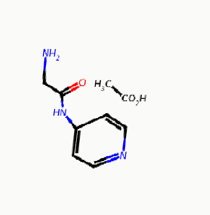 CC(=O)O.NCC(=O)Nc1ccncc1